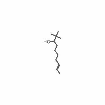 C/C=C/CCCCC(O)C(C)(C)C